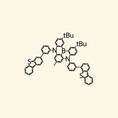 Cc1cc2c3c(c1)N(c1cccc(-c4cccc5c4sc4ccccc45)c1)c1ccc(C(C)(C)C)cc1B3c1cc(C(C)(C)C)ccc1N2c1cccc(-c2ccc3c(c2)sc2ccccc23)c1